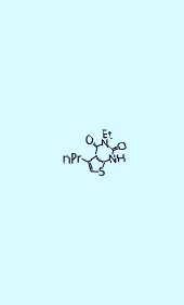 CCCc1csc2[nH]c(=O)n(CC)c(=O)c12